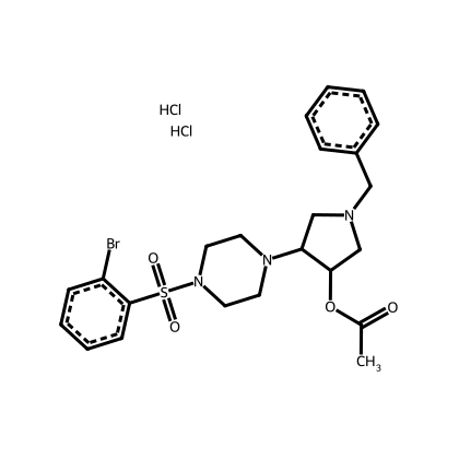 CC(=O)OC1CN(Cc2ccccc2)CC1N1CCN(S(=O)(=O)c2ccccc2Br)CC1.Cl.Cl